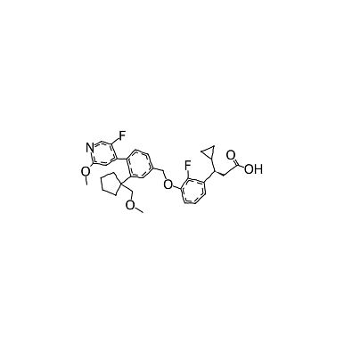 COCC1(c2cc(COc3cccc([C@H](CC(=O)O)C4CC4)c3F)ccc2-c2cc(OC)ncc2F)CCCC1